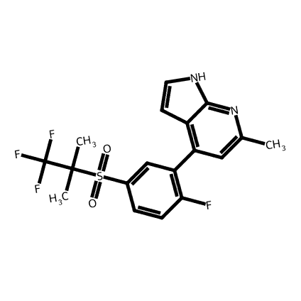 Cc1cc(-c2cc(S(=O)(=O)C(C)(C)C(F)(F)F)ccc2F)c2cc[nH]c2n1